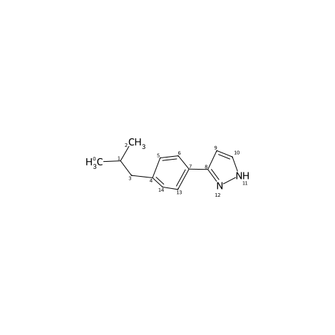 CC(C)Cc1ccc(-c2cc[nH]n2)cc1